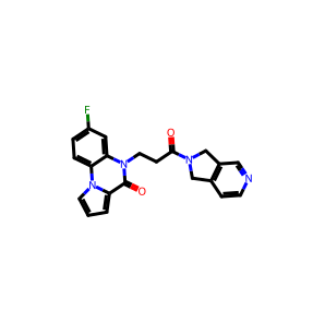 O=C(CCn1c(=O)c2cccn2c2ccc(F)cc21)N1Cc2ccncc2C1